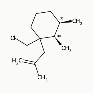 C=C(C)CC1(CCl)CCC[C@@H](C)[C@H]1C